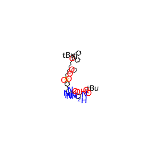 CC(C)(C)OC(=O)NCc1cccc(NC(=O)c2nc(-c3ccc(S(=O)(=O)C(C)(C)CC(CCCCCCO[Si](c4ccccc4)(c4ccccc4)C(C)(C)C)OC4CCCCO4)cc3)cnc2N)c1O